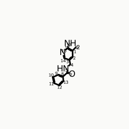 Cc1cc(CNC(=O)c2ccccc2)cnc1N